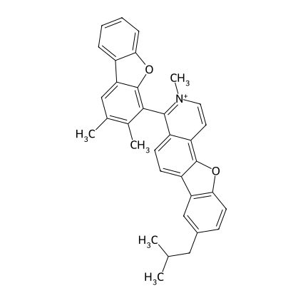 Cc1cc2c(oc3ccccc32)c(-c2c3ccc4c5cc(CC(C)C)ccc5oc4c3cc[n+]2C)c1C